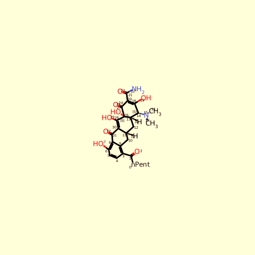 CCCCCC(=O)c1ccc(O)c2c1C[C@H]1C[C@H]3[C@H](N(C)C)C(O)=C(C(N)=O)C(=O)[C@@]3(O)C(O)=C1C2=O